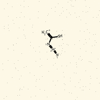 C=C(S)N=[N+]=[N-]